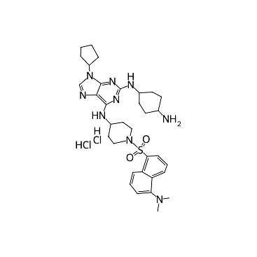 CN(C)c1cccc2c(S(=O)(=O)N3CCC(Nc4nc(NC5CCC(N)CC5)nc5c4ncn5C4CCCC4)CC3)cccc12.Cl.Cl